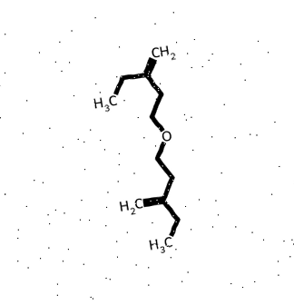 C=C(CC)CCOCCC(=C)CC